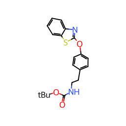 CC(C)(C)OC(=O)NCCc1ccc(Oc2nc3ccccc3s2)cc1